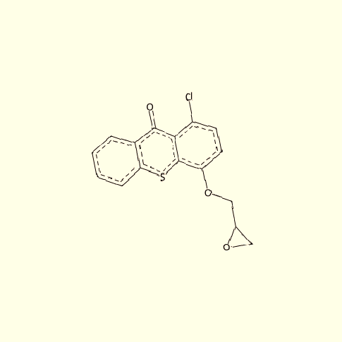 O=c1c2ccccc2sc2c(OCC3CO3)ccc(Cl)c12